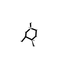 CC1CN(C)CC[C@H]1C